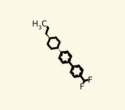 CCC[C@H]1CC[C@H](c2ccc(-c3ccc(C(F)F)cc3)cc2)CC1